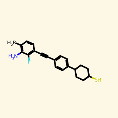 Bc1ccc(C#Cc2ccc(C3CCC(S)CC3)cc2)c(F)c1N